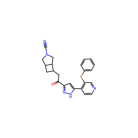 N#CN1CC2CC(CC(=O)c3cc(-c4ccncc4Sc4ccccc4)[nH]n3)C2C1